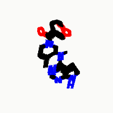 CC1CCN(C(=O)c2ccoc2)CC1N(C)c1ncnc2[nH]ccc12